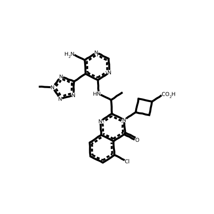 CC(Nc1ncnc(N)c1-c1nnn(C)n1)c1nc2cccc(Cl)c2c(=O)n1C1CC(C(=O)O)C1